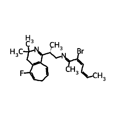 C\C=C/C=C(Br)\C(C)=N\C[C@@H](C)C1=NC(C)(C)CC2=C1C=CCC=C2F